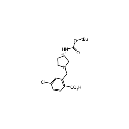 CC(C)(C)OC(=O)N[C@H]1CCN(Cc2cc(Cl)ccc2C(=O)O)C1